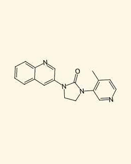 Cc1ccncc1N1CCN(c2cnc3ccccc3c2)C1=O